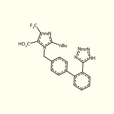 CCCCc1nc(C(F)(F)F)c(C(=O)O)n1Cc1ccc(-c2ccccc2-c2nnn[nH]2)cc1